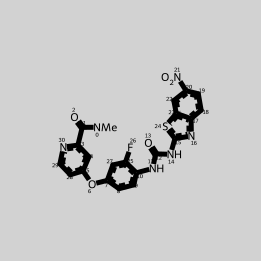 CNC(=O)c1cc(Oc2ccc(NC(=O)Nc3nc4ccc([N+](=O)[O-])cc4s3)c(F)c2)ccn1